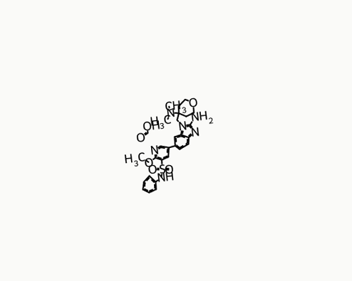 COc1ncc(-c2ccc3nc(N)n(CC4(N(C)C)CCOCC4)c3c2)cc1S(=O)(=O)Nc1ccccc1.O=CO